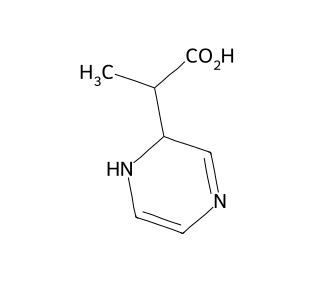 CC(C(=O)O)C1C=NC=CN1